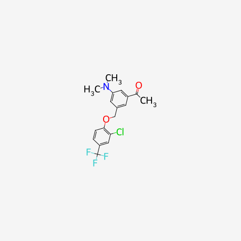 CC(=O)c1cc(COc2ccc(C(F)(F)F)cc2Cl)cc(N(C)C)c1